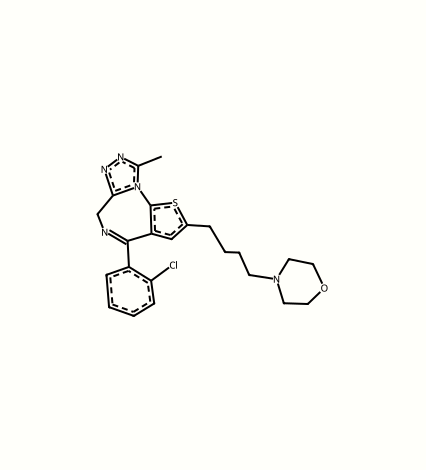 Cc1nnc2n1-c1sc(CCCCN3CCOCC3)cc1C(c1ccccc1Cl)=NC2